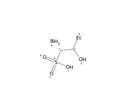 CCC(O)CS(=O)(=O)O.[BiH3]